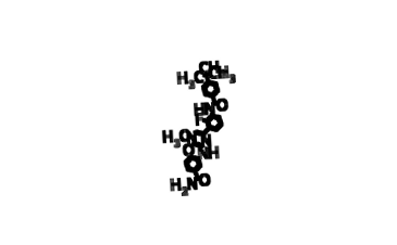 Cn1cc(-c2cccc(NC(=O)c3ccc(C(C)(C)C)cc3)c2F)nc(Nc2cccc(C(N)=O)c2)c1=O